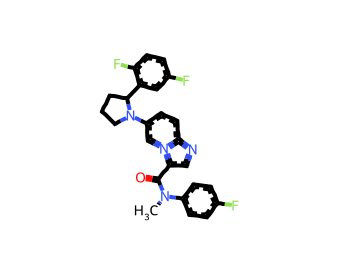 CN(C(=O)c1cnc2ccc(N3CCCC3c3cc(F)ccc3F)cn12)c1ccc(F)cc1